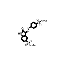 CNS(=O)(=O)c1ccc(N/N=C2\C(=O)Nc3ccc(S(=O)(=O)NC)cc32)cc1